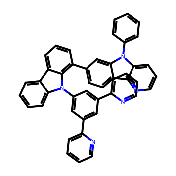 c1ccc(-n2c3cc(-c4cccc5c6ccccc6n(-c6cc(-c7ccccn7)cc(-c7ccccn7)c6)c45)ccc3c3ncccc32)cc1